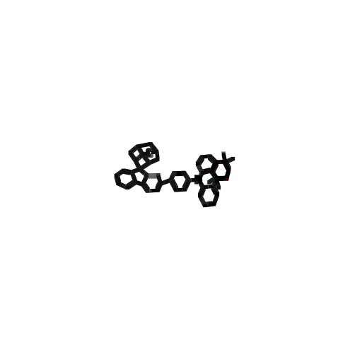 CC1(C)CCC(C)(C)c2c(N(c3ccc(-c4ccc5c(c4)C4(c6ccccc6-5)C5CC6CC7CC4C75C6)cc3)c3ccccc3-c3ccccc3)cccc21